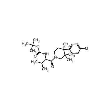 CC(C)[C@@H](NC(=O)OC(C)(C)C)C(=O)N1CC[C@](C)(c2ccc(Cl)cc2)C(C)(C)C1